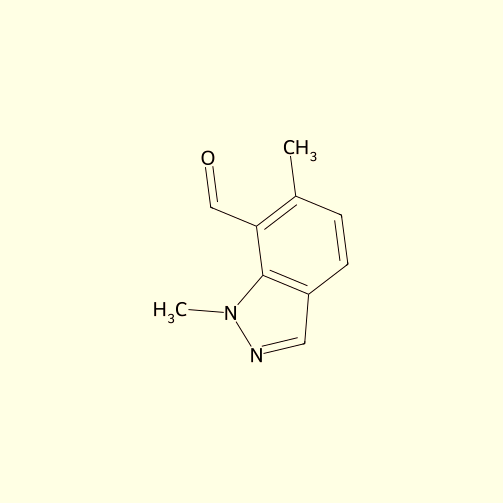 Cc1ccc2cnn(C)c2c1C=O